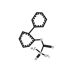 CP(C)(=O)C(=O)Oc1ccccc1-c1ccccc1